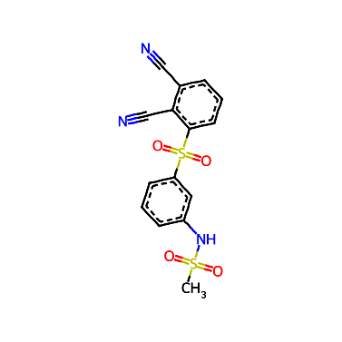 CS(=O)(=O)Nc1cccc(S(=O)(=O)c2cccc(C#N)c2C#N)c1